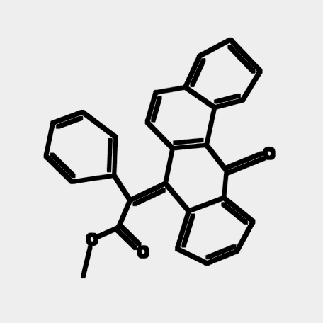 COC(=O)/C(=C1\c2ccccc2C(=O)c2c1ccc1ccccc21)c1ccccc1